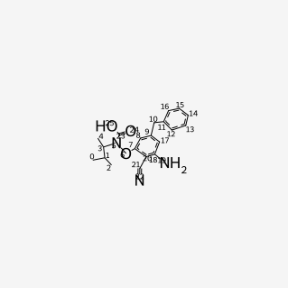 CC(C)C(C)N(Oc1cc(Cc2ccccc2)cc(N)c1C#N)C(=O)O